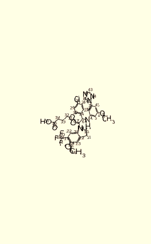 COc1cc(NC(C(=O)N2CCc3cc(OC)c(C(F)(F)F)cc32)c2ccc(Cl)cc2OCCCC(=O)O)cc(-n2cncn2)c1